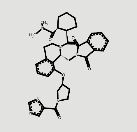 CN(C)C(=O)[C@H]1CCCC[C@H]1C(=O)N1CCc2cccc(O[C@H]3CCN(C(=O)c4cncs4)C3)c2[C@H]1CN1C(=O)c2ccccc2C1=O